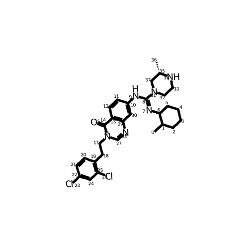 CC1CCCCC1N=C(Nc1ccc2c(=O)n(CCc3ccc(Cl)cc3Cl)cnc2c1)N1CCN[C@@H](C)C1